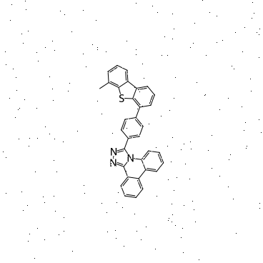 Cc1cccc2c1sc1c(-c3ccc(-c4nnc5c6ccccc6c6ccccc6n45)cc3)cccc12